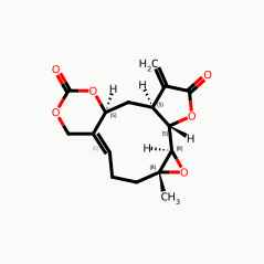 C=C1C(=O)O[C@@H]2[C@H]3O[C@]3(C)CC/C=C3\COC(=O)O[C@H]3C[C@@H]12